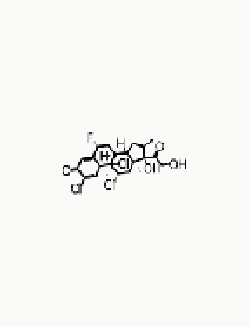 C[C@@H]1C[C@H]2[C@@H]3C[C@@H](F)C4=CC(=O)C(Cl)=C[C@]4(C)[C@@]3(Cl)[C@@H](Cl)C[C@]2(C)[C@@]1(O)C(=O)CO